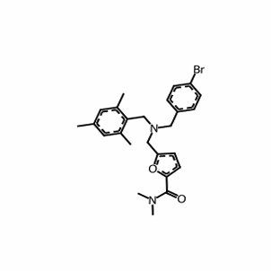 Cc1cc(C)c(CN(Cc2ccc(Br)cc2)Cc2ccc(C(=O)N(C)C)o2)c(C)c1